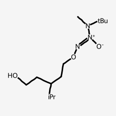 CC(C)C(CCO)CCO/N=[N+](\[O-])N(C)C(C)(C)C